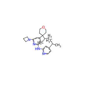 CC(C)c1ccnc(Nc2cc(C3(C(C)C)CCOCC3)cc(N3CCC3)n2)c1